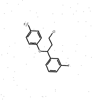 Fc1cccc(C(CCCl)Oc2ccc(C(F)(F)F)cc2)c1